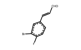 O=[C]C=Cc1ccc(F)c(Br)c1